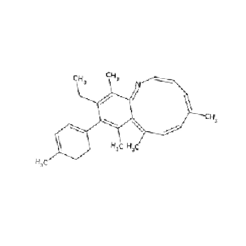 CCc1c(C2=CC=C(C)CC2)c(C)c2c(C)ccc(C)cccnc2c1C